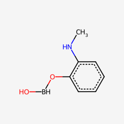 CNc1ccccc1OBO